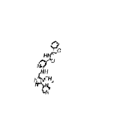 Cn1c(CNc2cc(C(=O)N[C@@H]3COc4ccccc43)ccn2)nnc1-c1ccncn1